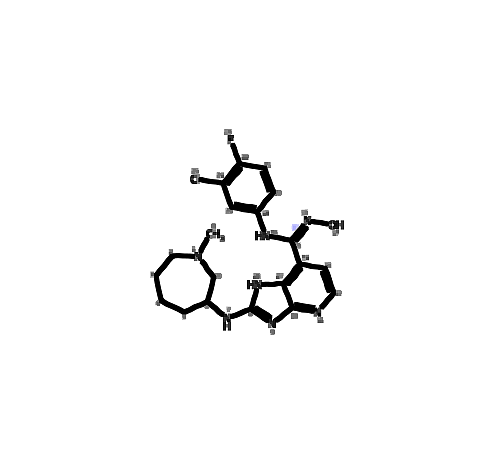 CN1CCCCC(Nc2nc3nccc(/C(=N\O)Nc4ccc(F)c(Cl)c4)c3[nH]2)C1